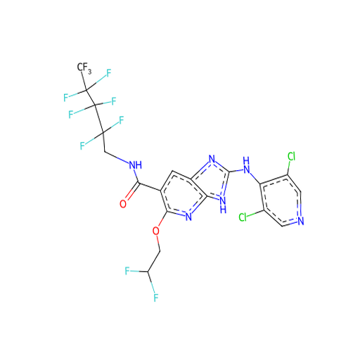 O=C(NCC(F)(F)C(F)(F)C(F)(F)C(F)(F)F)c1cc2nc(Nc3c(Cl)cncc3Cl)[nH]c2nc1OCC(F)F